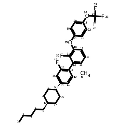 C.CCCCC[C@H]1CC[C@H](c2ccc(-c3cccc(Oc4ccc(OC(F)(F)F)cc4)c3F)c(F)c2)CC1